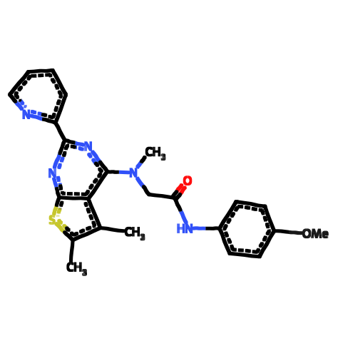 COc1ccc(NC(=O)CN(C)c2nc(-c3ccccn3)nc3sc(C)c(C)c23)cc1